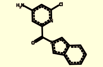 Nc1cc(Cl)nc(C(=O)n2cc3ccccc3c2)c1